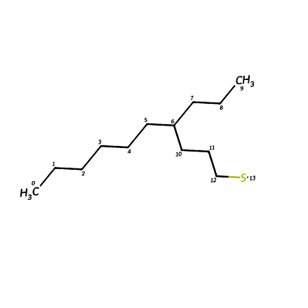 CCCCCCC(CCC)CCC[S]